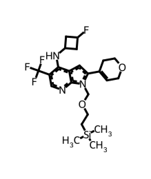 C[Si](C)(C)CCOCn1c(C2=CCOCC2)cc2c(NC3CC(F)C3)c(C(F)(F)F)cnc21